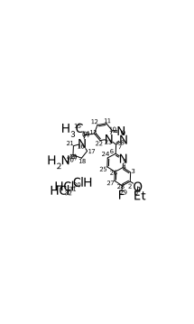 CCOc1cc2nc(-c3nnc4ccc([C@@H](C)N5CC[C@H](N)C5)cn34)ccc2cc1F.Cl.Cl.Cl